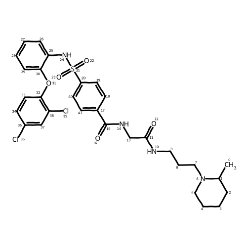 CC1CCCCN1CCCNC(=O)CNC(=O)c1ccc(S(=O)(=O)Nc2ccccc2Oc2ccc(Cl)cc2Cl)cc1